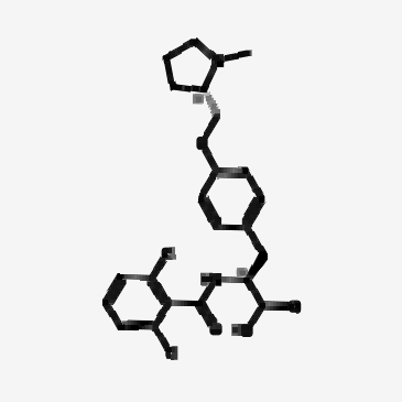 CN1CCC[C@H]1COc1ccc(C[C@H](NC(=O)c2c(Cl)cccc2Cl)C(=O)O)cc1